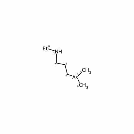 CCNCCC[As](C)C